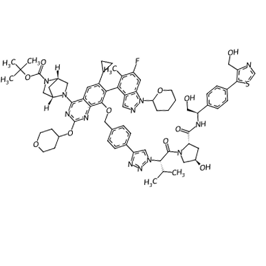 Cc1c(F)cc2c(cnn2C2CCCCO2)c1-c1c(C2CC2)cc2c(N3C[C@@H]4C[C@H]3CN4C(=O)OC(C)(C)C)nc(OC3CCOCC3)nc2c1OCc1ccc(-c2cn([C@H](C(=O)N3C[C@H](O)C[C@H]3C(=O)N[C@@H](CO)c3ccc(-c4scnc4CO)cc3)C(C)C)nn2)cc1